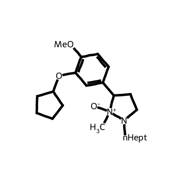 CCCCCCCN1CCC(c2ccc(OC)c(OC3CCCC3)c2)[N+]1(C)[O-]